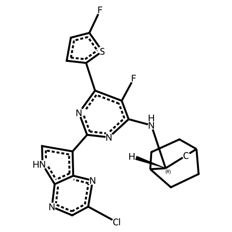 Fc1ccc(-c2nc(-c3c[nH]c4ncc(Cl)nc34)nc(N[C@@H]3CC4CCC3CC4)c2F)s1